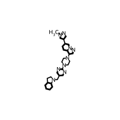 Cn1cc(-c2ccc3c(N4CCN(c5ncc(CN6CCc7ccccc76)cn5)CC4)cnn3c2)cn1